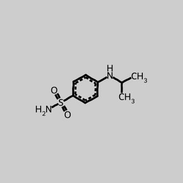 CC(C)Nc1ccc(S(N)(=O)=O)cc1